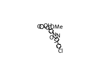 COc1cc(-n2cnc3cc(-c4ccc(Cl)cc4)sc3c2=O)ccc1OCC1(O)CCOCC1